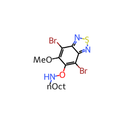 CCCCCCCCNOc1c(OC)c(Br)c2nsnc2c1Br